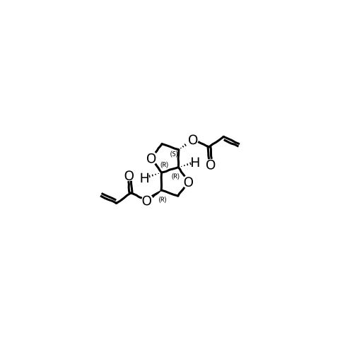 C=CC(=O)O[C@H]1CO[C@H]2[C@@H]1OC[C@H]2OC(=O)C=C